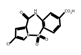 O=C(O)c1ccc2c(c1)NC(=O)c1cc(Cl)cn1S2(=O)=O